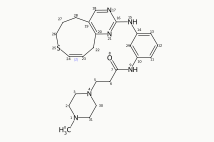 CN1CCN(CCC(=O)Nc2cccc(Nc3ncc4c(n3)C/C=C\SCCC4)c2)CC1